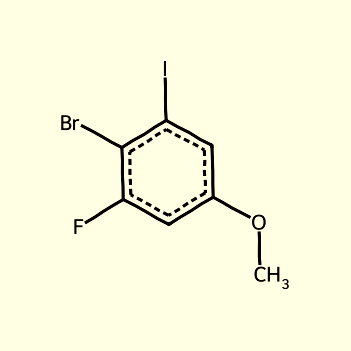 COc1cc(F)c(Br)c(I)c1